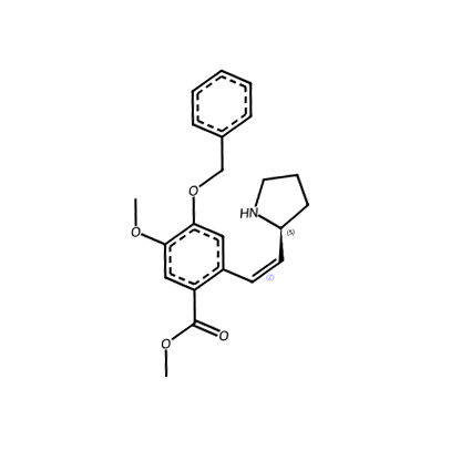 COC(=O)c1cc(OC)c(OCc2ccccc2)cc1/C=C\[C@@H]1CCCN1